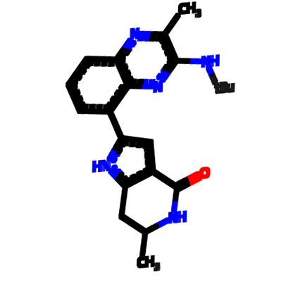 Cc1nc2cccc(-c3cc4c([nH]3)CC(C)NC4=O)c2nc1NC(C)(C)C